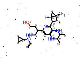 C=CN(NCC(CCO)c1cc2c(c(C3CC4(C(F)(F)F)C[C@@H]34)n1)NC(C)C(C)N2)C1CC1